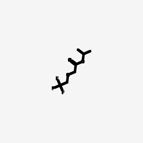 CC(C)OC(=O)COCC(F)(F)F